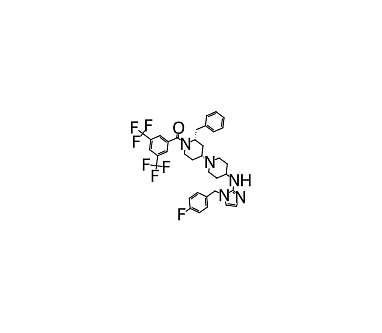 O=C(c1cc(C(F)(F)F)cc(C(F)(F)F)c1)N1CC[C@@H](N2CCC(Nc3nccn3Cc3ccc(F)cc3)CC2)C[C@H]1Cc1ccccc1